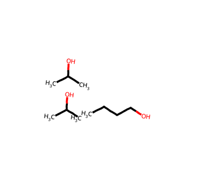 CC(C)O.CC(C)O.CCCCO